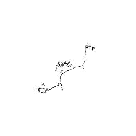 CCCCCOCl.[SiH4]